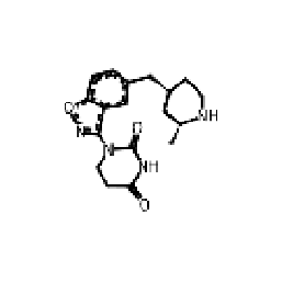 C[C@H]1C[C@@H](Cc2ccc3onc(N4CCC(=O)NC4=O)c3c2)CCN1